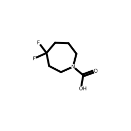 O=C(O)N1CCCC(F)(F)CC1